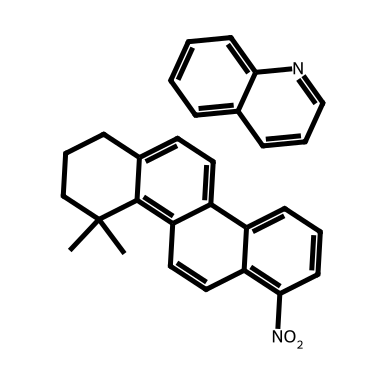 CC1(C)CCCc2ccc3c(ccc4c([N+](=O)[O-])cccc43)c21.c1ccc2ncccc2c1